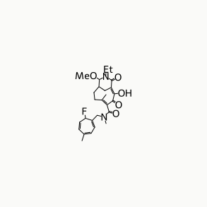 CCN1C(=O)/C2=C(\O)C(=O)/C(C(=O)N(C)CC3=CC=C(C)C=CC3F)=C(\C)CCC(C2)C1OC